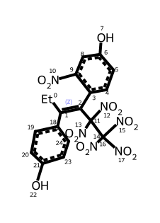 CC/C(=C(\c1ccc(O)cc1[N+](=O)[O-])C([N+](=O)[O-])([N+](=O)[O-])C([N+](=O)[O-])([N+](=O)[O-])[N+](=O)[O-])c1ccc(O)cc1